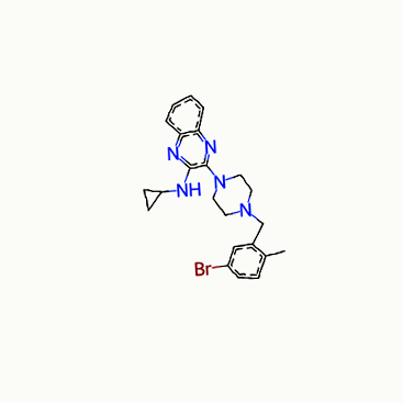 Cc1ccc(Br)cc1CN1CCN(c2nc3ccccc3nc2NC2CC2)CC1